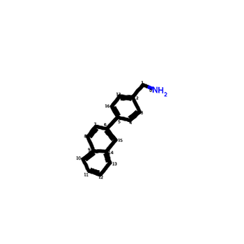 NCc1ccc(-c2ccc3ccccc3c2)cc1